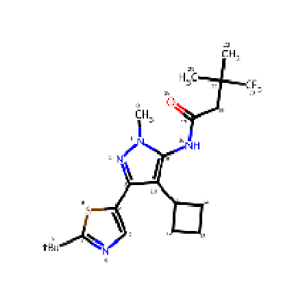 Cn1nc(-c2cnc(C(C)(C)C)s2)c(C2CCC2)c1NC(=O)CC(C)(C)C(F)(F)F